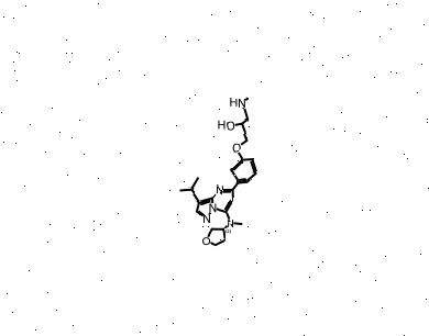 CNCC(O)COc1cccc(-c2cc(N(C)[C@H]3CCOC3)n3ncc(C(C)C)c3n2)c1